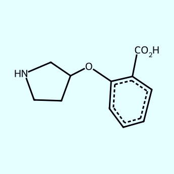 O=C(O)c1ccccc1OC1CCNC1